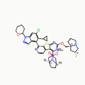 CC(C)(C)OC(=O)N1[C@@H]2CC[C@H]1CN(c1nc(OC[C@@]34CCCN3C[C@H](F)C4)nc3sc4c(-c5c(C6CC6)c(Cl)cc6c5cnn6C5CCCCO5)nccc4c13)C2